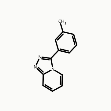 Cc1cccc(-c2nnc3ccccn23)c1